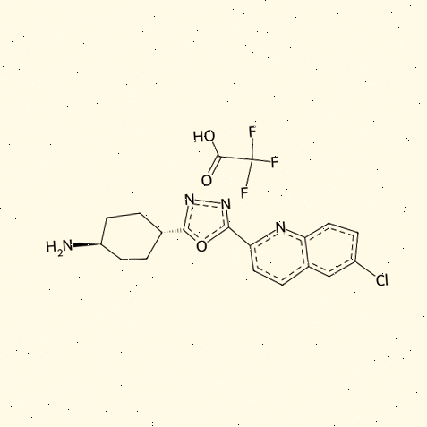 N[C@H]1CC[C@H](c2nnc(-c3ccc4cc(Cl)ccc4n3)o2)CC1.O=C(O)C(F)(F)F